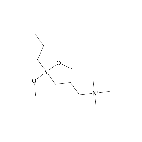 CCC[Si](CCC[N+](C)(C)C)(OC)OC